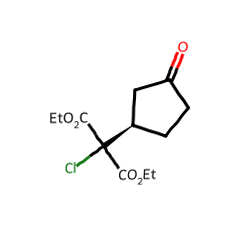 CCOC(=O)C(Cl)(C(=O)OCC)[C@@H]1CCC(=O)C1